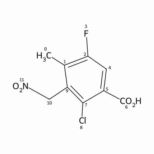 Cc1c(F)cc(C(=O)O)c(Cl)c1C[N+](=O)[O-]